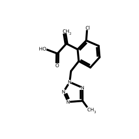 C=C(C(=O)O)c1c(Cl)cccc1Cn1nnc(C)n1